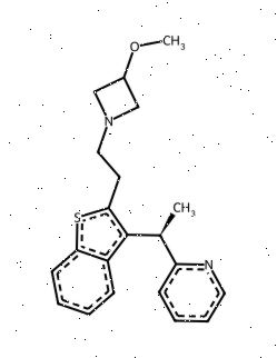 COC1CN(CCc2sc3ccccc3c2[C@@H](C)c2ccccn2)C1